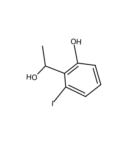 CC(O)c1c(O)cccc1I